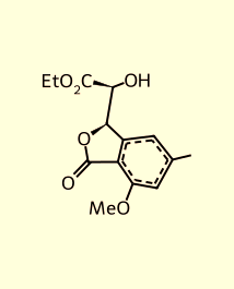 CCOC(=O)[C@@H](O)[C@@H]1OC(=O)c2c(OC)cc(C)cc21